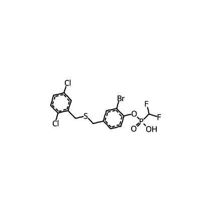 O=P(O)(Oc1ccc(CSCc2cc(Cl)ccc2Cl)cc1Br)C(F)F